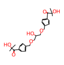 CC(C)(O)C(=O)c1ccc(COCC(O)COCc2ccc(C(=O)C(C)(C)O)cc2)cc1